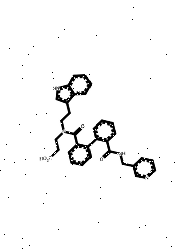 O=C(O)CCN(CCc1c[nH]c2ccccc12)C(=O)c1ccccc1-c1ccccc1C(=O)NCc1cccnc1